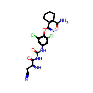 N#CCC(=N)C(=O)NC(=O)Nc1cc(Cl)c(OC(=N)C2=C(C(N)=O)CCCC2)c(Cl)c1